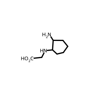 NC1CCCCC1NCC(=O)O